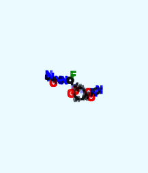 C/C(=C\c1cc(F)cc(N2CCN(C(=O)Cn3cccn3)CC2)c1)[C@H]1OC(=O)C[C@H](C)CC[C@H](C)[C@@H](OC(=O)N2CCN(C)CC2)/C=C/[C@@H]1C